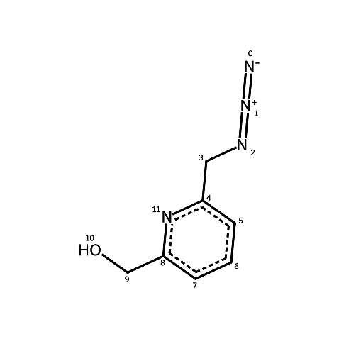 [N-]=[N+]=NCc1cccc(CO)n1